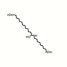 CCCCCCCCCCCCCCCCCCCCCC(O)NCCCCCCCCCCCCCCCCCC